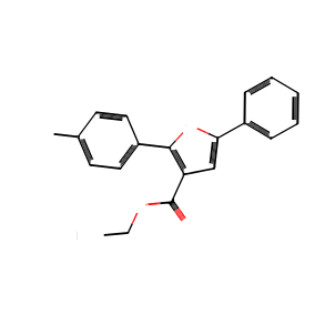 CCOC(=O)c1cc(-c2ccccc2)oc1-c1ccc(C)cc1